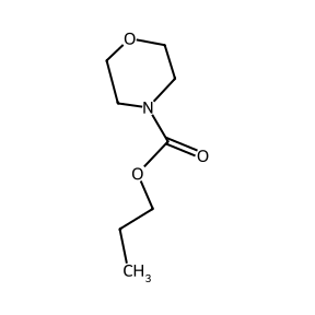 CCCOC(=O)N1CCOCC1